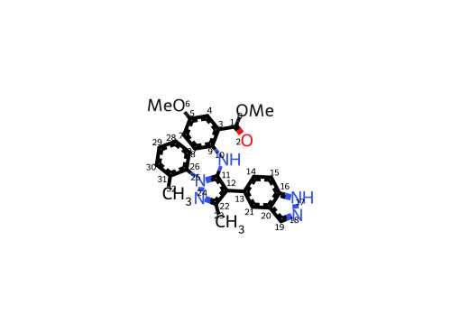 COC(=O)c1cc(OC)ccc1Nc1c(-c2ccc3[nH]ncc3c2)c(C)nn1-c1ccccc1C